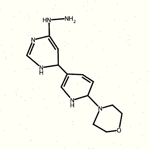 NNC1=CC(C2=CNC(N3CCOCC3)C=C2)NC=N1